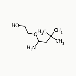 CC(C)(C)CC(N)OCCO